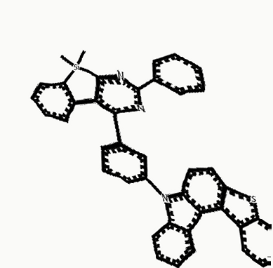 C[Si]1(C)c2ccccc2-c2c(-c3cccc(-n4c5ccccc5c5c6c(ccc54)sc4ccccc46)c3)nc(-c3ccccc3)nc21